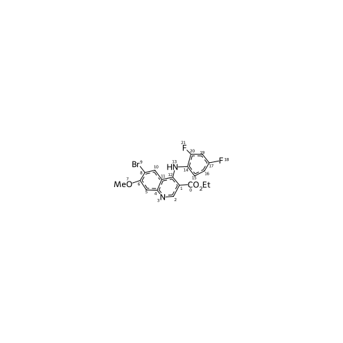 CCOC(=O)c1cnc2cc(OC)c(Br)cc2c1Nc1ccc(F)cc1F